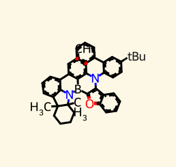 Cc1cc2c3c(c1)N(c1ccc(C(C)(C)C)cc1-c1ccccc1)c1c(oc4ccccc14)B3N1c3c-2cccc3C2(C)CCCCC12C